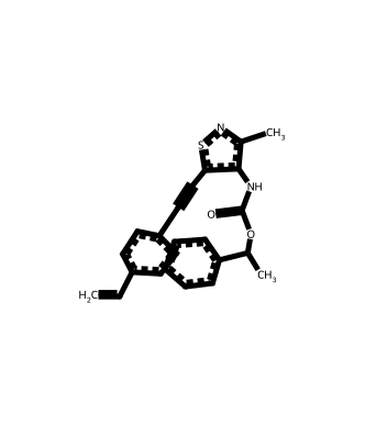 C=Cc1ccc(C#Cc2snc(C)c2NC(=O)OC(C)c2ccccc2)cc1